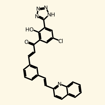 O=C(C=Cc1cccc(C=Cc2ccc3ccccc3n2)c1)c1cc(Cl)cc(-c2nnn[nH]2)c1O